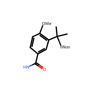 CCCCCCCCCC(C)(C)c1cc(C([NH])=O)ccc1OC